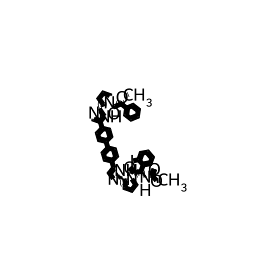 COC(=O)N[C@@H](C(=O)N1CCC[C@H]1c1ncc(-c2ccc(-c3ccc(-c4cnc([C@@H]5CCCN5C(=O)[C@H](OC)c5ccccc5)[nH]4)cc3)cc2)[nH]1)c1ccccc1I